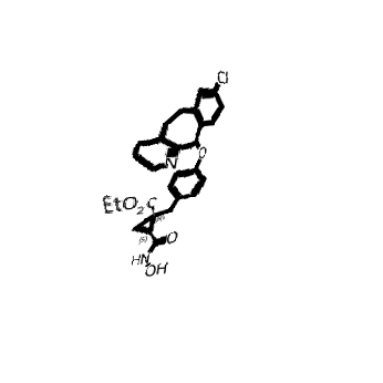 CCOC(=O)[C@@]1(Cc2ccc(OC3c4ccc(Cl)cc4CCc4cccnc43)cc2)C[C@@H]1C(=O)NO